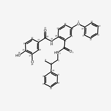 CC(CNC(=O)c1cc(Oc2ccccc2)ccc1NC(=O)c1ccc(O)c(Cl)c1)c1ccccc1